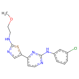 COCCNc1ncc(-c2ccnc(Nc3cccc(Cl)c3)n2)s1